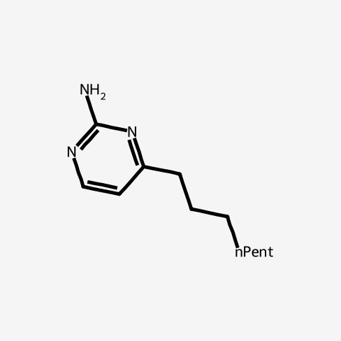 CCCCCCCCc1ccnc(N)n1